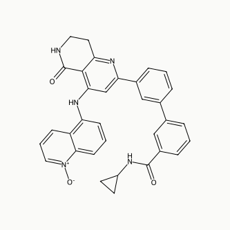 O=C(NC1CC1)c1cccc(-c2cccc(-c3cc(Nc4cccc5c4ccc[n+]5[O-])c4c(n3)CCNC4=O)c2)c1